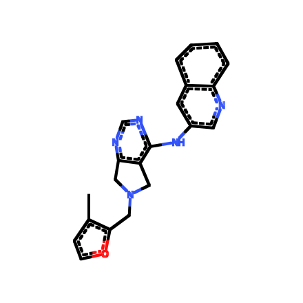 Cc1ccoc1CN1Cc2ncnc(Nc3cnc4ccccc4c3)c2C1